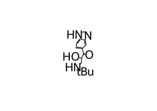 CC(C)(C)NCC(O)C(=O)c1ccc2[nH]cnc2c1